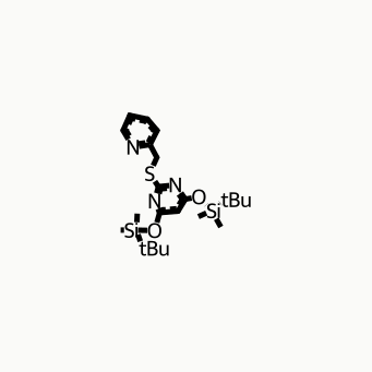 CC(C)(C)[Si](C)(C)Oc1cc(O[Si](C)(C)C(C)(C)C)nc(SCc2ccccn2)n1